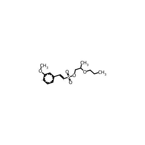 CCCOC(C)COS(=O)(=O)[C]=Cc1cc[c]c(OC)c1